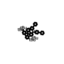 CC(C)(C)c1ccc2c(c1)C1(c3cc(C(C)(C)C)ccc3-2)c2cc(C(C)(C)C)ccc2-c2c(N(c3ccc(-c4ccccc4)cc3)c3cccc(-c4ccccc4)c3)cc(C(C)(C)C)cc21